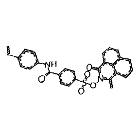 C=Cc1ccc(NC(=O)c2ccc(S(=O)(=O)On3c(=C)c4cccc5cccc(c3=O)c54)cc2)cc1